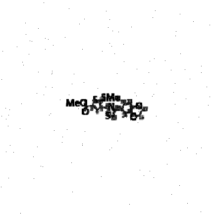 COC(=O)c1cc(-c2nc(-c3ccc4c(c3)OCCO4)cs2)c(SC)s1